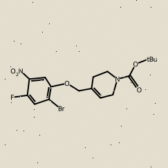 CC(C)(C)OC(=O)N1CC=C(COc2cc([N+](=O)[O-])c(F)cc2Br)CC1